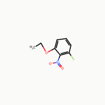 CCOc1cccc(F)c1[N+](=O)[O-]